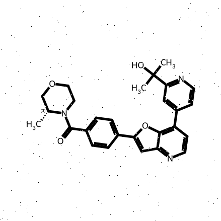 C[C@@H]1COCCN1C(=O)c1ccc(-c2cc3nccc(-c4ccnc(C(C)(C)O)c4)c3o2)cc1